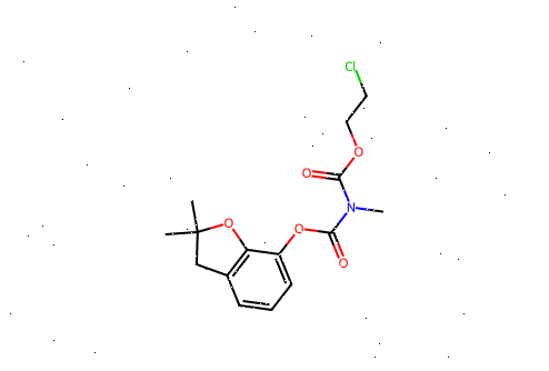 CN(C(=O)OCCCl)C(=O)Oc1cccc2c1OC(C)(C)C2